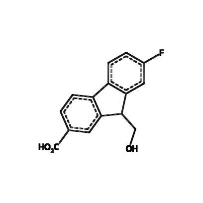 O=C(O)c1ccc2c(c1)C(CO)c1cc(F)ccc1-2